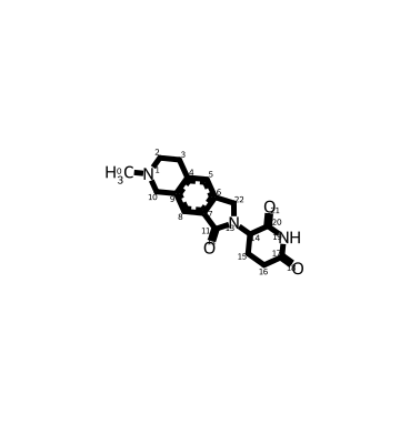 CN1CCc2cc3c(cc2C1)C(=O)N(C1CCC(=O)NC1=O)C3